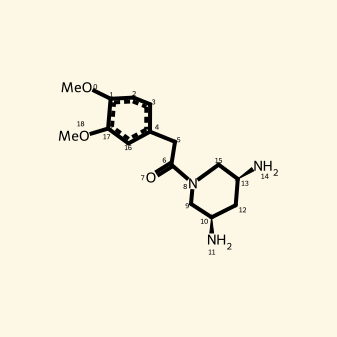 COc1ccc(CC(=O)N2C[C@H](N)C[C@H](N)C2)cc1OC